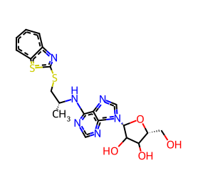 C[C@H](CSc1nc2ccccc2s1)Nc1ncnc2c1ncn2[C@@H]1O[C@H](CO)C(O)C1O